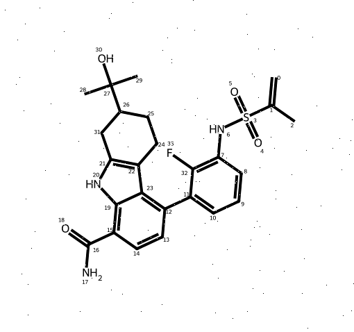 C=C(C)S(=O)(=O)Nc1cccc(-c2ccc(C(N)=O)c3[nH]c4c(c23)CCC(C(C)(C)O)C4)c1F